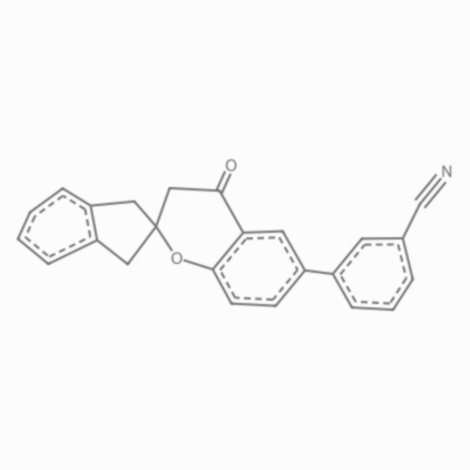 N#Cc1cccc(-c2ccc3c(c2)C(=O)CC2(Cc4ccccc4C2)O3)c1